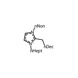 CCCCCCCCCCCc1n(CCCCCCCCC)cc[n+]1CCCCCCC